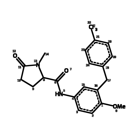 COc1ccc(NC(=O)C2CCC(=O)N2C)cc1Cc1ccc(C(F)(F)F)cc1